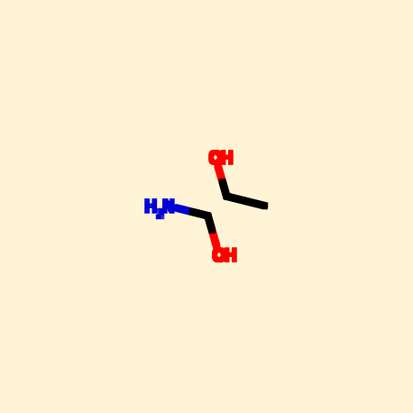 CCO.NCO